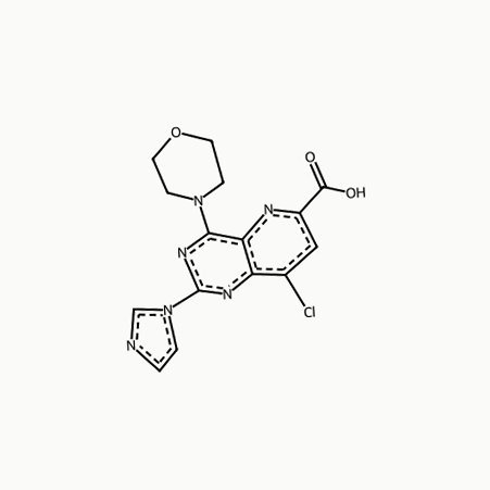 O=C(O)c1cc(Cl)c2nc(-n3ccnc3)nc(N3CCOCC3)c2n1